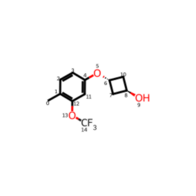 Cc1ccc(O[C@H]2C[C@H](O)C2)cc1OC(F)(F)F